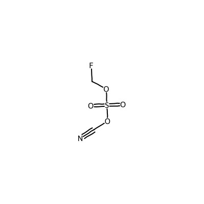 N#COS(=O)(=O)OCF